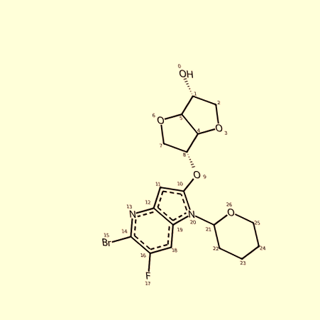 O[C@@H]1COC2C1OC[C@H]2Oc1cc2nc(Br)c(F)cc2n1C1CCCCO1